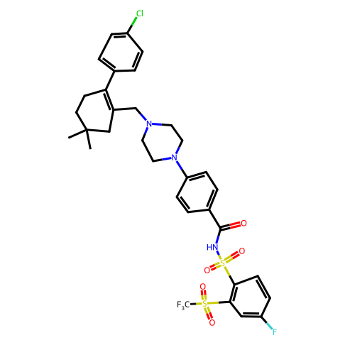 CC1(C)CCC(c2ccc(Cl)cc2)=C(CN2CCN(c3ccc(C(=O)NS(=O)(=O)c4ccc(F)cc4S(=O)(=O)C(F)(F)F)cc3)CC2)C1